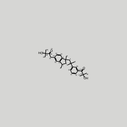 CC1CC(C)(CC(C)(C)c2cccc(C(=O)C(C)(C)O)c2)c2ccc(CC(=O)C(C)(C)O)cc21